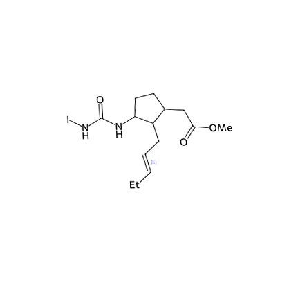 CC/C=C/CC1C(CC(=O)OC)CCC1NC(=O)NI